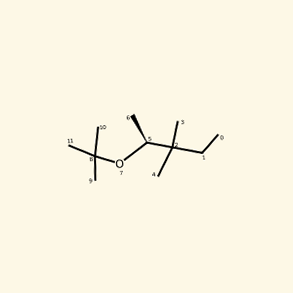 CCC(C)(C)[C@H](C)OC(C)(C)C